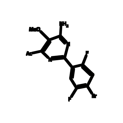 COc1c(N)nc(-c2cc(F)c(Br)cc2F)nc1C(C)=O